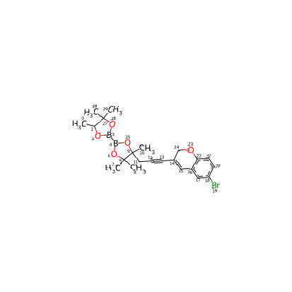 CC1OB(B2OC(C)(C)C(C)(CC#CC3=Cc4cc(Br)ccc4OC3)O2)OC1(C)C